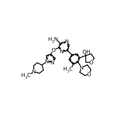 Cc1cc(-c2cnc(N)c(Oc3cnn(C4CCN(C)CC4)c3)n2)cc(C2(O)CCOC2)c1N1CCOCC1